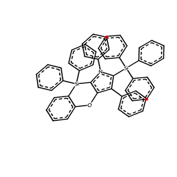 c1ccc(-c2c3c(n(-c4ccccc4)c2[Si](c2ccccc2)(c2ccccc2)c2ccccc2)[Si](c2ccccc2)(c2ccccc2)c2ccccc2O3)cc1